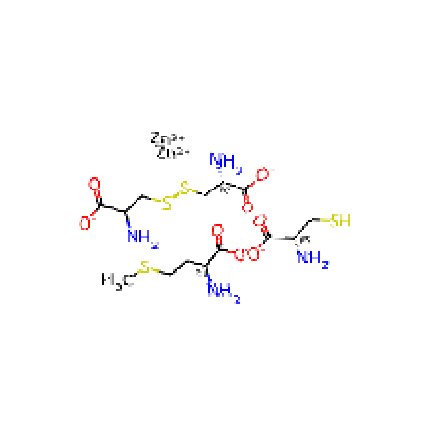 CSCC[C@H](N)C(=O)[O-].NC(CSSC[C@H](N)C(=O)[O-])C(=O)[O-].N[C@@H](CS)C(=O)[O-].[Zn+2].[Zn+2]